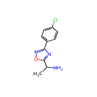 CC(N)c1nc(-c2ccc(Cl)cc2)no1